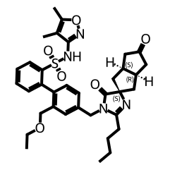 CCCCC1=N[C@]2(C[C@H]3CC(=O)C[C@H]3C2)C(=O)N1Cc1ccc(-c2ccccc2S(=O)(=O)Nc2noc(C)c2C)c(COCC)c1